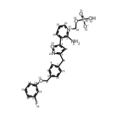 Nc1c(-c2cc(Cc3ccc(COc4cccc(F)c4)cc3)no2)ccc[n+]1COP(=O)([O-])O